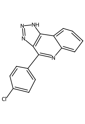 Clc1ccc(-c2nc3ccccc3c3[nH]nnc23)cc1